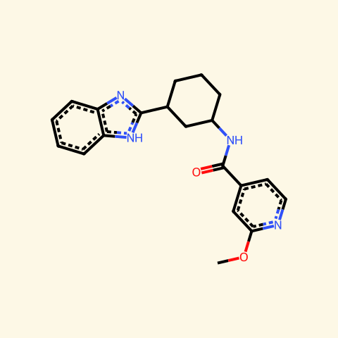 COc1cc(C(=O)NC2CCCC(c3nc4ccccc4[nH]3)C2)ccn1